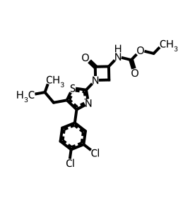 CCOC(=O)NC1CN(c2nc(-c3ccc(Cl)c(Cl)c3)c(CC(C)C)s2)C1=O